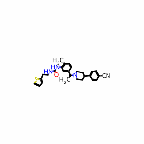 C=C(c1ccc(C)c(NC(=O)NCCc2cccs2)c1)N1CCC(c2ccc(C#N)cc2)CC1